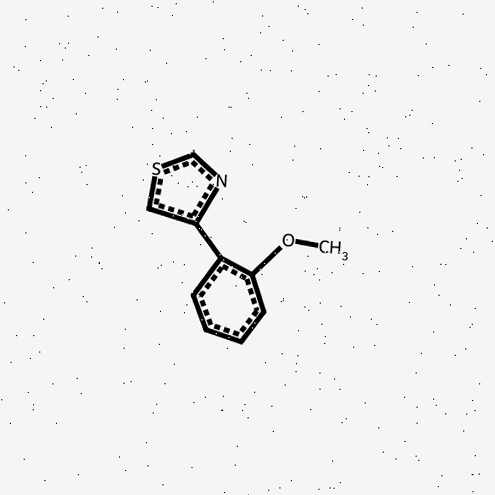 COc1ccccc1-c1cs[c]n1